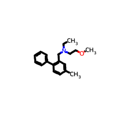 CCN(CCOC)Cc1cc(C)ccc1-c1ccccc1